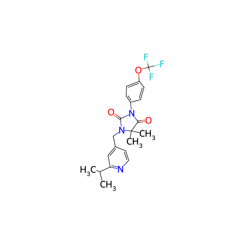 CC(C)c1cc(CN2C(=O)N(c3ccc(OC(F)(F)F)cc3)C(=O)C2(C)C)ccn1